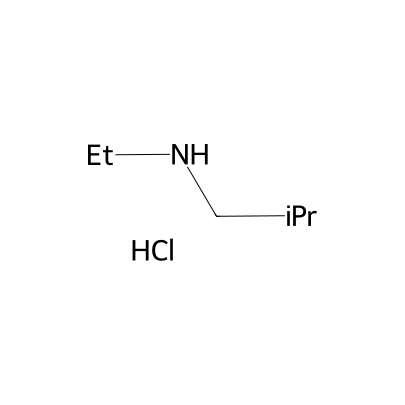 CCNCC(C)C.Cl